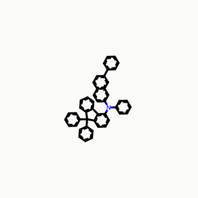 c1ccc(-c2ccc3ccc(N(c4ccccc4)c4cccc5c4-c4ccccc4C5(c4ccccc4)c4ccccc4)cc3c2)cc1